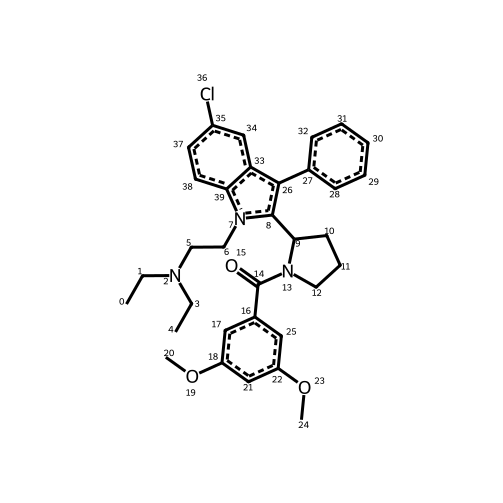 CCN(CC)CCn1c(C2CCCN2C(=O)c2cc(OC)cc(OC)c2)c(-c2ccccc2)c2cc(Cl)ccc21